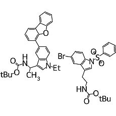 CC(C)(C)OC(=O)NCCc1cn(S(=O)(=O)c2ccccc2)c2ccc(Br)cc12.CCn1cc(C(C)NC(=O)OC(C)(C)C)c2cc(-c3cccc4c3oc3ccccc34)ccc21